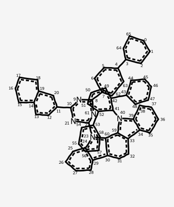 c1ccc(-c2ccc(-c3nc(-c4ccc5ccccc5c4)nc(-n4c5ccccc5c5ccc6c7ccccc7n(-c7c(-c8ccccc8)cccc7-c7ccccc7)c6c54)n3)cc2)cc1